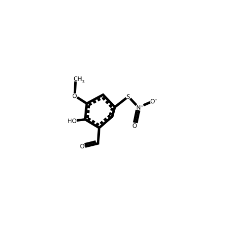 COc1cc(S[N+](=O)[O-])cc(C=O)c1O